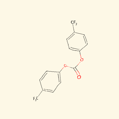 O=C(Oc1ccc(C(F)(F)F)cc1)Oc1ccc(C(F)(F)F)cc1